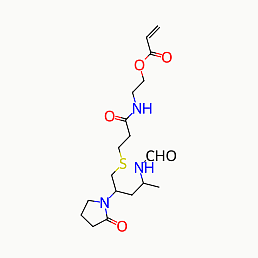 C=CC(=O)OCCNC(=O)CCSCC(CC(C)NC=O)N1CCCC1=O